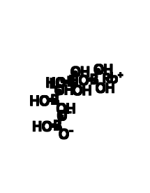 OB(O)O.OB(O)O.OB(O)O.[Li+].[O-]B([O-])O.[Rb+]